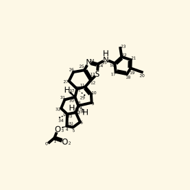 CC(=O)O[C@H]1CC[C@H]2[C@@H]3CC=C4c5sc(Nc6ccc(C)cc6C)nc5CC[C@]4(C)[C@H]3CC[C@]12C